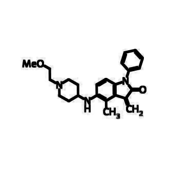 C=C1C(=O)N(c2ccccc2)c2ccc(NC3CCN(CCOC)CC3)c(C)c21